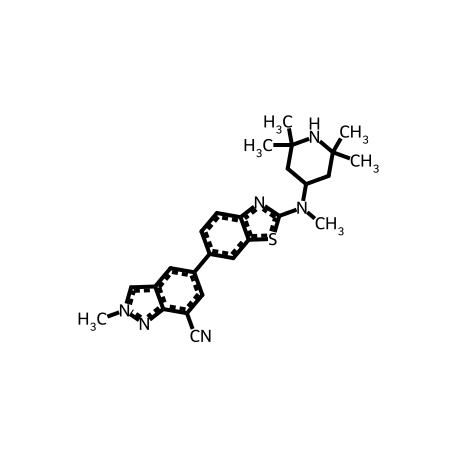 CN(c1nc2ccc(-c3cc(C#N)c4nn(C)cc4c3)cc2s1)C1CC(C)(C)NC(C)(C)C1